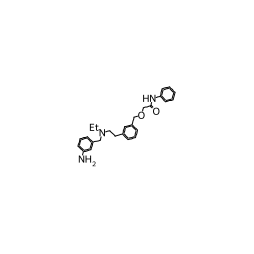 CCN(CCc1cccc(COCC(=O)Nc2ccccc2)c1)Cc1cccc(N)c1